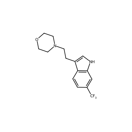 FC(F)(F)c1ccc2c(CCN3CCOCC3)c[nH]c2c1